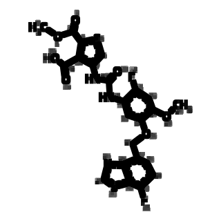 COC(=O)c1scc(NC(=O)Nc2cc(OCc3ccc(F)c4scnc34)c(OC)cc2F)c1C(=O)O